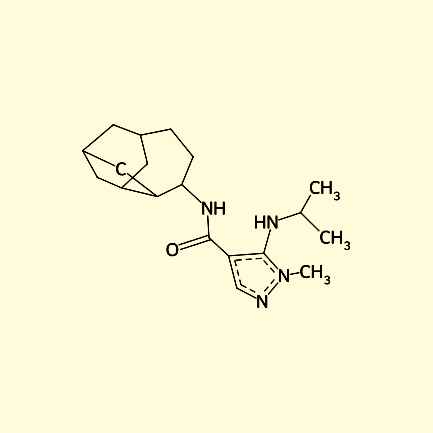 CC(C)Nc1c(C(=O)NC2CCC3CC4CC(C3)C2C4)cnn1C